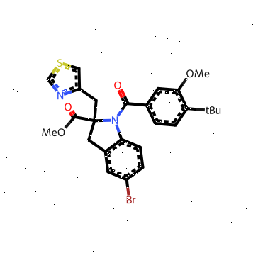 COC(=O)C1(Cc2cscn2)Cc2cc(Br)ccc2N1C(=O)c1ccc(C(C)(C)C)c(OC)c1